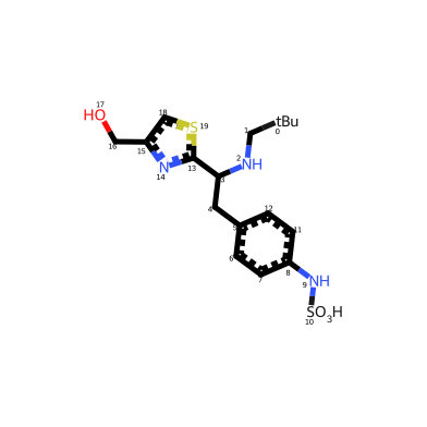 CC(C)(C)CNC(Cc1ccc(NS(=O)(=O)O)cc1)c1nc(CO)cs1